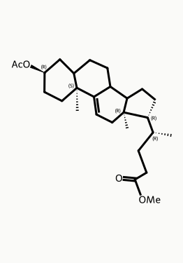 COC(=O)CC[C@@H](C)[C@H]1CCC2C3CCC4C[C@H](OC(C)=O)CC[C@]4(C)C3=CC[C@@]21C